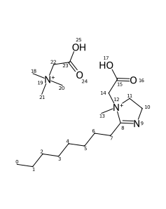 CCCCCCCCC1=NCC[N+]1(C)CC(=O)O.C[N+](C)(C)CC(=O)O